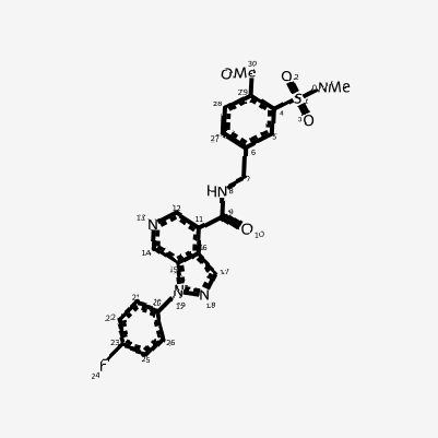 CNS(=O)(=O)c1cc(CNC(=O)c2cncc3c2cnn3-c2ccc(F)cc2)ccc1OC